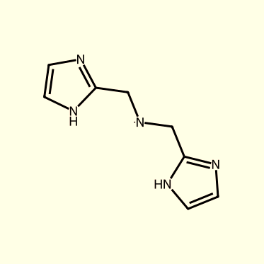 c1c[nH]c(C[N]Cc2ncc[nH]2)n1